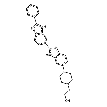 OCCN1CCN(c2ccc3nc(-c4ccc5nc(-c6ccccn6)[nH]c5c4)[nH]c3c2)CC1